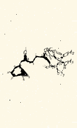 CC(CCC(=O)c1ccccc1)=NN(C)[Si](C)(C)C